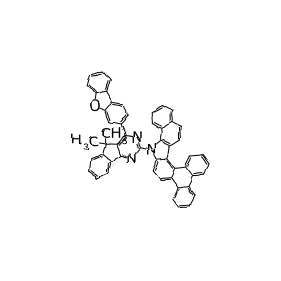 CC1(C)c2ccccc2-c2nc(-n3c4ccc5c6ccccc6c6ccccc6c5c4c4ccc5ccccc5c43)nc(-c3ccc4c(c3)oc3ccccc34)c21